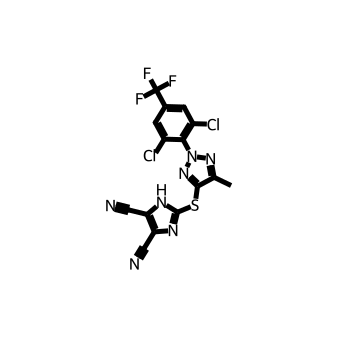 Cc1nn(-c2c(Cl)cc(C(F)(F)F)cc2Cl)nc1Sc1nc(C#N)c(C#N)[nH]1